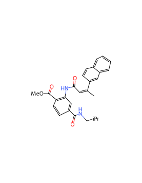 COC(=O)c1ccc(C(=O)NCC(C)C)cc1NC(=O)/C=C(/C)c1ccc2ccccc2c1